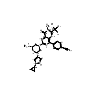 C[C@H]1CN(c2nc(-c3ccc(C#N)cc3)c3nc(C(F)(F)F)n(C)c(=O)c3n2)C[C@@H](c2cnn(C3CC3)c2)O1